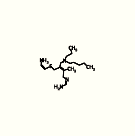 CCCCCN(CCC)C/C(CS/C=C\N)=C(\C)C/N=C\N